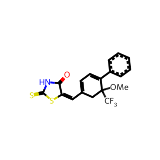 COC1(C(F)(F)F)CC(C=C2SC(=S)NC2=O)=CC=C1c1ccccc1